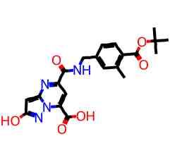 Cc1cc(CNC(=O)c2cc(C(=O)O)n3nc(O)cc3n2)ccc1C(=O)OC(C)(C)C